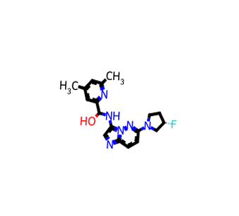 Cc1cc(C)nc(C(O)Nc2cnc3ccc(N4CC[C@H](F)C4)nn23)c1